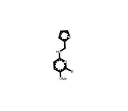 COc1ccc(NCc2cccs2)nc1Br